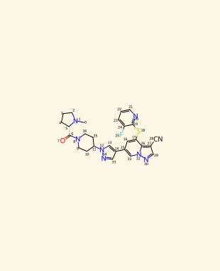 CN1CCC[C@H]1C(=O)N1CCC(n2cc(-c3cc(Sc4ncccc4F)c4c(C#N)cnn4c3)cn2)CC1